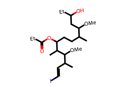 CCC(=O)OC(CCC(C)C(CC(O)CC)OC)C(C)C(OC)C(C)C=CI